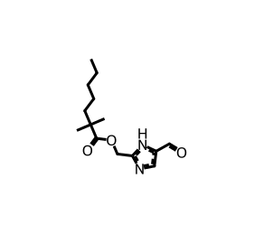 CCCCCC(C)(C)C(=O)OCc1ncc(C=O)[nH]1